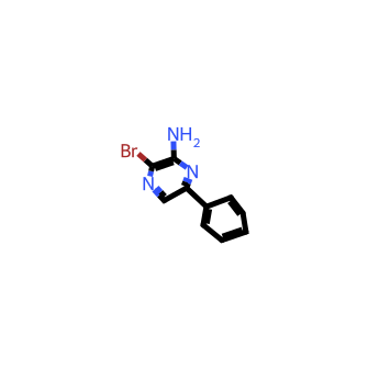 Nc1nc(-c2ccccc2)cnc1Br